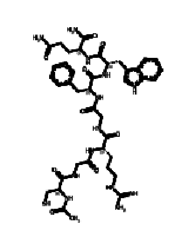 CC(=O)N[C@@H](CS)C(=O)NCC(=O)N[C@@H](CCCNC(=N)N)C(=O)NCC(=O)N[C@@H](Cc1ccccc1)C(=O)N[C@@H](Cc1c[nH]c2ccccc12)C(=O)N[C@@H](CCC(N)=O)C(N)=O